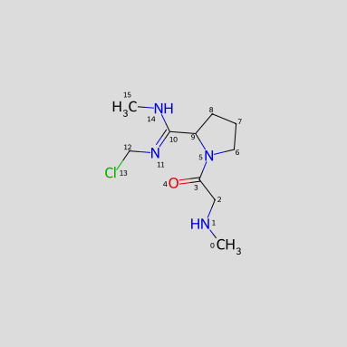 CNCC(=O)N1CCCC1/C(=N/CCl)NC